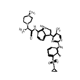 Cc1cnc(Nc2cccc(S(=O)(=O)C3CC3)c2F)nc1-c1c[nH]c2c(NC(=O)[C@@H](C)N3CCN(C)CC3)cccc12